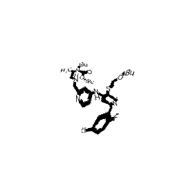 CCC(C)N(C(=O)OC(C)(C)C)C(C)CNCc1cc(Nc2cc(-c3cc(Cl)ccc3F)nnc2SCCOC(C)(C)C)ccn1